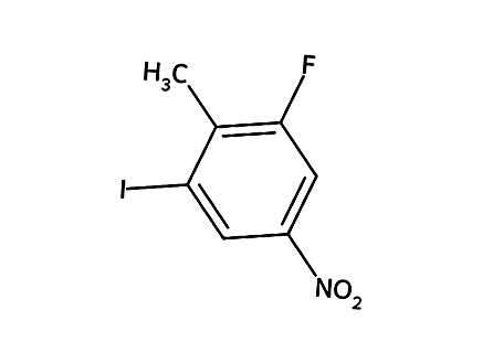 Cc1c(F)cc([N+](=O)[O-])cc1I